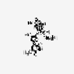 Cc1cn([C@H]2C[C@H](O)[C@@H](COP(=O)(O)OP(=O)(O)OP(=O)(O)O)O2)c(=O)[nH]c1=O.[NaH].[NaH].[NaH]